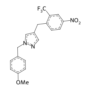 COc1ccc(Cn2cc(Cc3ccc([N+](=O)[O-])cc3C(F)(F)F)cn2)cc1